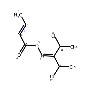 C/C=C/C(=O)ON=C(C(Cl)Cl)C(Cl)Cl